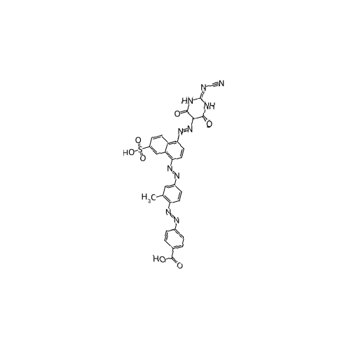 Cc1cc(N=Nc2ccc(N=NC3C(=O)NC(=NC#N)NC3=O)c3ccc(S(=O)(=O)O)cc23)ccc1N=Nc1ccc(C(=O)O)cc1